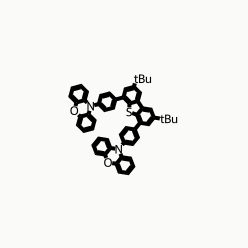 CC(C)(C)c1cc(-c2ccc(N3c4ccccc4Oc4ccccc43)cc2)c2sc3c(-c4ccc(N5c6ccccc6Oc6ccccc65)cc4)cc(C(C)(C)C)cc3c2c1